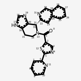 O=C(c1cnc(-c2ccccn2)s1)N1CCc2[nH]cnc2[C@@H]1c1cc2ccccc2cn1